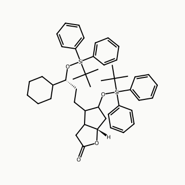 CC(C)(C)[Si](OC1C[C@@H]2OC(=O)CC2C1CC[C@@H](O[Si](c1ccccc1)(c1ccccc1)C(C)(C)C)C1CCCCC1)(c1ccccc1)c1ccccc1